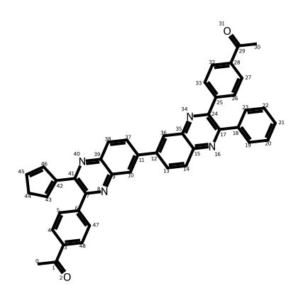 CC(=O)c1ccc(-c2nc3cc(-c4ccc5nc(-c6ccccc6)c(-c6ccc(C(C)=O)cc6)nc5c4)ccc3nc2C2=CCC=C2)cc1